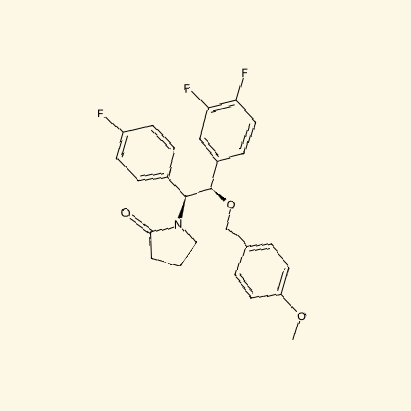 COc1ccc(CO[C@H](c2ccc(F)c(F)c2)[C@H](c2ccc(F)cc2)N2CCCC2=O)cc1